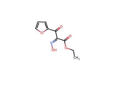 CCOC(=O)C(=NO)C(=O)c1ccco1